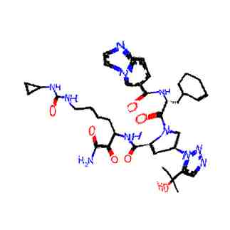 CC(C)(O)c1cnnn1[C@H]1C[C@@H](C(=O)NC(CCCCNC(=O)NC2CC2)C(=O)C(N)=O)N(C(=O)[C@@H](CC2CCCCC2)NC(=O)c2ccc3nccn3c2)C1